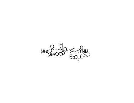 CCOC(=O)CC1(CNC(=O)OCCSSCCOC(=O)NC(CCC(=O)OC)C(=O)OC)CCCCC1